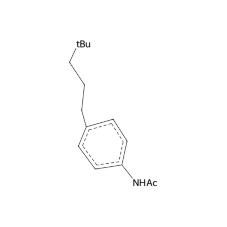 CC(=O)Nc1ccc(CCCC(C)(C)C)cc1